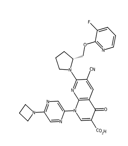 N#Cc1cc2c(=O)c(C(=O)O)cn(-c3cnc(N4CCC4)cn3)c2nc1N1CCC[C@@H]1COc1ncccc1F